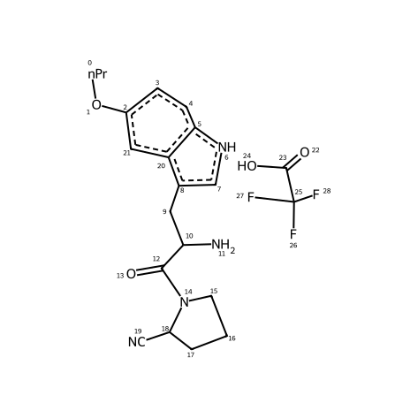 CCCOc1ccc2[nH]cc(CC(N)C(=O)N3CCCC3C#N)c2c1.O=C(O)C(F)(F)F